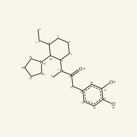 CSC1CCCC(N(C)C(=O)Cc2ccc(Cl)c(Cl)c2)C1N1CCCC1